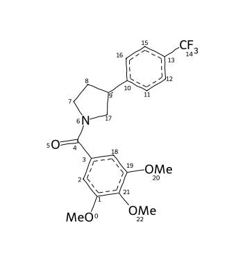 COc1cc(C(=O)N2CC[C](c3ccc(C(F)(F)F)cc3)C2)cc(OC)c1OC